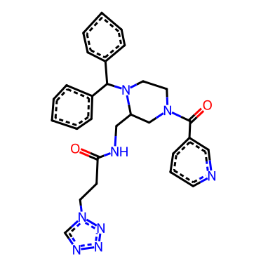 O=C(CCn1cnnn1)NCC1CN(C(=O)c2cccnc2)CCN1C(c1ccccc1)c1ccccc1